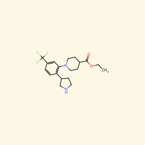 CCOC(=O)C1CCN(c2cc(C(F)(F)F)ccc2C2CCNC2)CC1